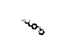 OCC(F)=Cc1ccc(Oc2ncccn2)cc1